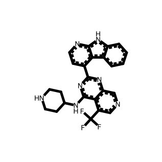 FC(F)(F)c1cncc2nc(-c3ccnc4[nH]c5ccccc5c34)nc(NC3CCNCC3)c12